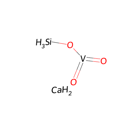 [CaH2].[O]=[V](=[O])[O][SiH3]